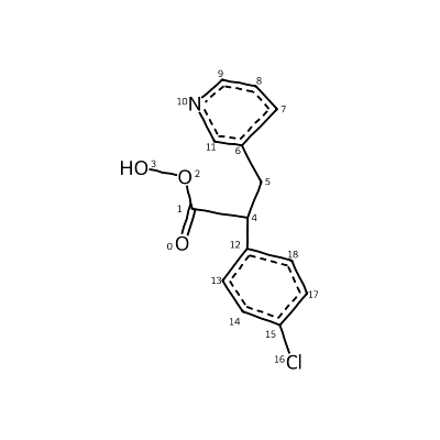 O=C(OO)C(Cc1cccnc1)c1ccc(Cl)cc1